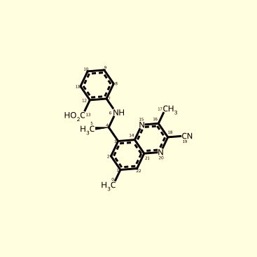 Cc1cc([C@@H](C)Nc2ccccc2C(=O)O)c2nc(C)c(C#N)nc2c1